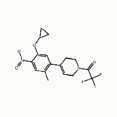 Cc1cc([N+](=O)[O-])c(OC2CC2)cc1C1=CCN(C(=O)C(F)(F)F)CC1